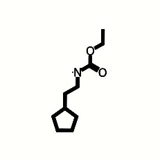 CCOC(=O)[N]CCC1CCCC1